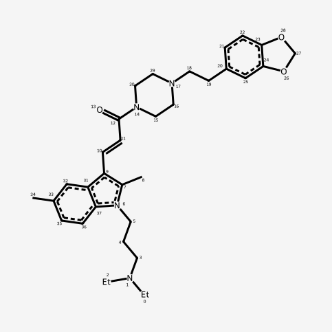 CCN(CC)CCCn1c(C)c(/C=C/C(=O)N2CCN(CCc3ccc4c(c3)OCO4)CC2)c2cc(C)ccc21